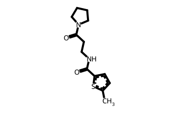 Cc1ccc(C(=O)NCCC(=O)N2CCCC2)s1